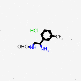 Cl.NC(CNC=O)c1cccc(C(F)(F)F)c1